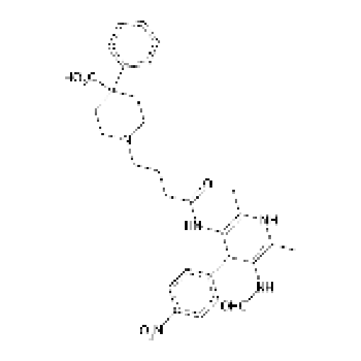 CC1=C(NC=O)C(c2ccc([N+](=O)[O-])cc2)C(NC(=O)CCCN2CCC(C(=O)O)(c3ccccc3)CC2)=C(C)N1